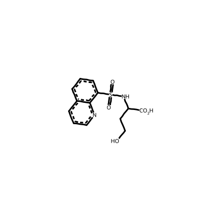 O=C(O)C(CCO)NS(=O)(=O)c1cccc2cccnc12